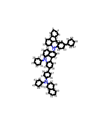 CC12c3ccccc3-c3cccc(c31)N(c1ccc3c4c(cccc14)N(c1ccccc1)c1cc(-c4ccc(N(c5ccccc5)c5ccc6ccccc6c5)cc4)ccc1-3)c1ccc(-c3ccccc3)cc12